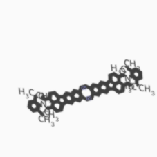 CC(C)c1cccc(C(C)C)c1N1C(=O)C2=CC=C3c4cc5cc6c(cc5cc4C4=CC=C(C1=O)C2C34)/C=C\c1cc2cc3c(cc2cc1/C=C\6)C1=CC=C2C(=O)N(c4c(C(C)C)cccc4C(C)C)C(=O)C4=CC=C3C1C24